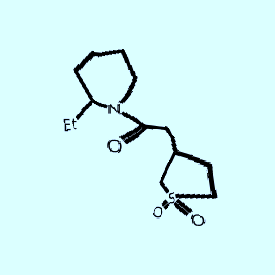 CCC1CCCCN1C(=O)CC1CCS(=O)(=O)C1